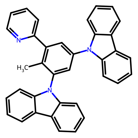 Cc1c(-c2ccccn2)cc(-n2c3ccccc3c3ccccc32)cc1-n1c2ccccc2c2ccccc21